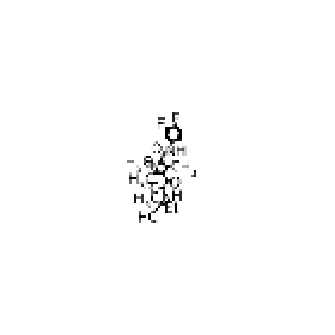 C#CC(C)(CC)NC(=O)C(=O)c1c(C)c(C(=O)Nc2ccc(F)c(F)c2)n(C)c1C